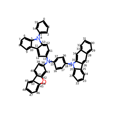 c1ccc(-n2c3ccccc3c3cc(N(c4ccc(-n5c6ccccc6c6cc7ccccc7cc65)cc4)c4ccc5c(c4)oc4ccccc45)ccc32)cc1